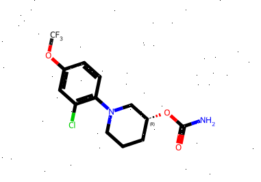 NC(=O)O[C@@H]1CCCN(c2ccc(OC(F)(F)F)cc2Cl)C1